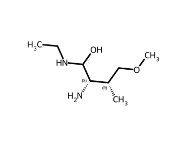 CCNC(O)[C@@H](N)[C@@H](C)COC